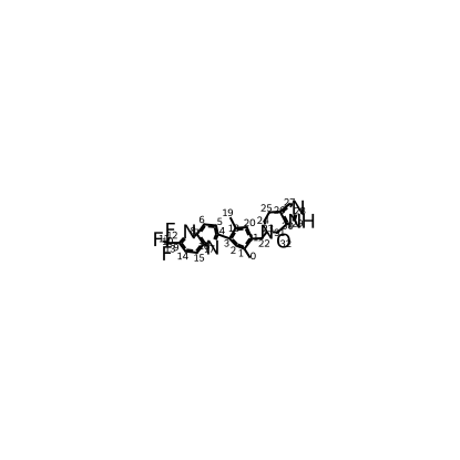 Cc1cc(-c2ccc3nc(C(F)(F)F)ccc3n2)c(C)cc1CN1CCc2cn[nH]c2C1=O